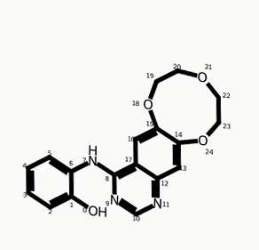 Oc1ccccc1Nc1ncnc2cc3c(cc12)OCCOCCO3